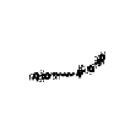 CCc1ccc2c(c1)c(=O)c(C(=O)Nc1ccc(Oc3ncnc4cc(OCCCCCCCCCC(O)Nc5ccc6c(c5)C(=O)N(C5CCC(=O)NC5=O)C6=O)c(C)cc34)c(F)c1)c(C)n2C